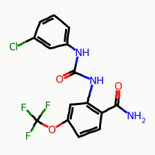 NC(=O)c1ccc(OC(F)(F)F)cc1NC(=O)Nc1cccc(Cl)c1